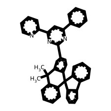 CC1(C)c2ccccc2C2(c3ccccc3-c3ccccc32)c2ccc(-c3nc(-c4ccccc4)cc(-c4ccccn4)n3)cc21